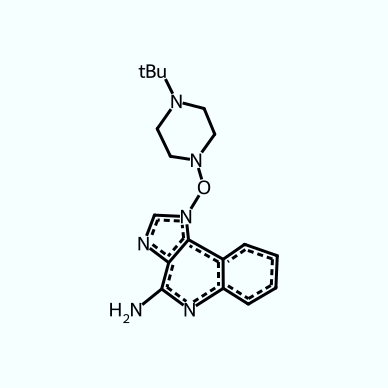 CC(C)(C)N1CCN(On2cnc3c(N)nc4ccccc4c32)CC1